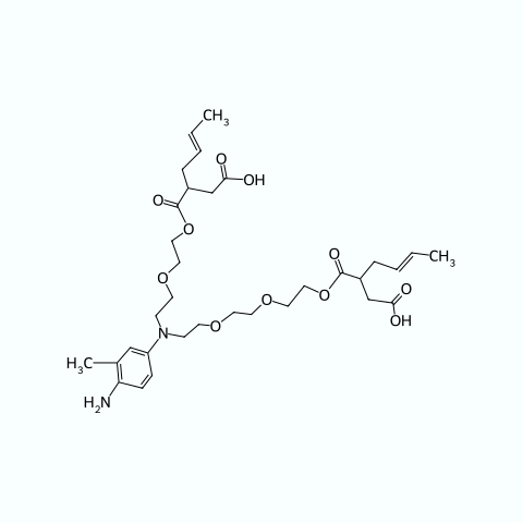 C/C=C/CC(CC(=O)O)C(=O)OCCOCCOCCN(CCOCCOC(=O)C(C/C=C/C)CC(=O)O)c1ccc(N)c(C)c1